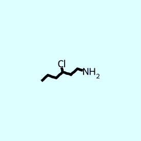 CCCC(Cl)CCN